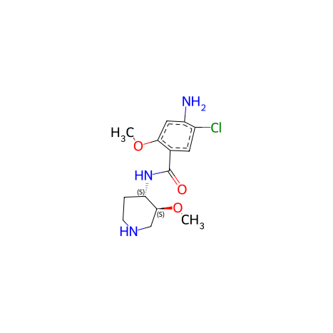 COc1cc(N)c(Cl)cc1C(=O)N[C@H]1CCNC[C@@H]1OC